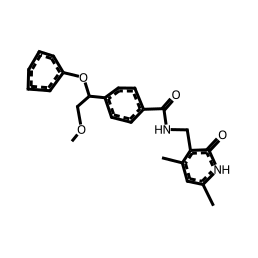 COCC(Oc1ccccc1)c1ccc(C(=O)NCc2c(C)cc(C)[nH]c2=O)cc1